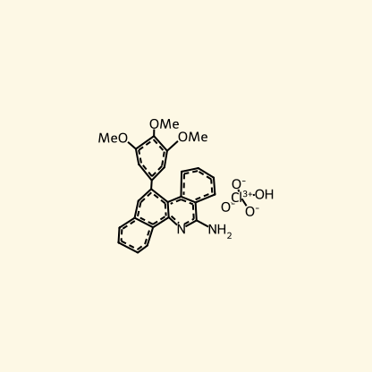 COc1cc(-c2cc3ccccc3c3nc(N)c4ccccc4c23)cc(OC)c1OC.[O-][Cl+3]([O-])([O-])O